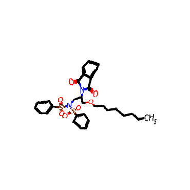 CCCCCCCCOCC(CN(S(=O)(=O)c1ccccc1)S(=O)(=O)c1ccccc1)N1C(=O)c2ccccc2C1=O